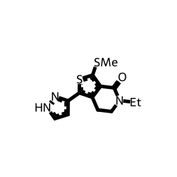 CCN1CCc2c(-c3cc[nH]n3)sc(SC)c2C1=O